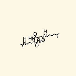 CC(C)CCCCNC(=O)C[C@@H]1NC(=O)[C@H](CCCNC(C)C)NC1=O